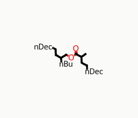 CCCCCCCCCCCCC(CCCC)COC(=O)C(C)CCCCCCCCCCCC